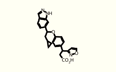 O=C(O)CC(c1ccc(OC(CC2CC2)c2ccc3cn[nH]c3c2)cc1)c1ccon1